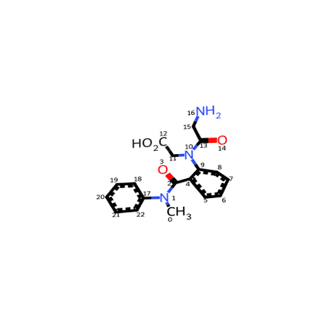 CN(C(=O)c1ccccc1N(CC(=O)O)C(=O)CN)c1ccccc1